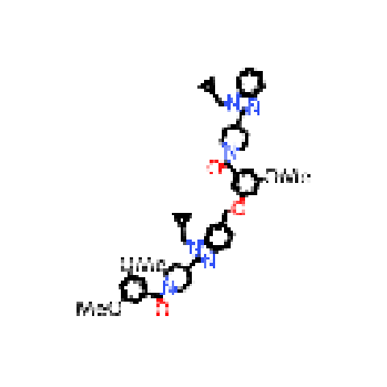 COc1cc(OC)cc(C(=O)N2CCC(c3nc4ccc(COc5cc(OC)cc(C(=O)N6CCC(c7nc8ccccc8n7CC7CC7)CC6)c5)cc4n3CC3CC3)CC2)c1